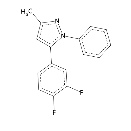 Cc1cc(-c2ccc(F)c(F)c2)n(-c2ccccc2)n1